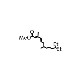 CCC(CC)CCCC(C)CC=CC(C)=CC(=O)OC